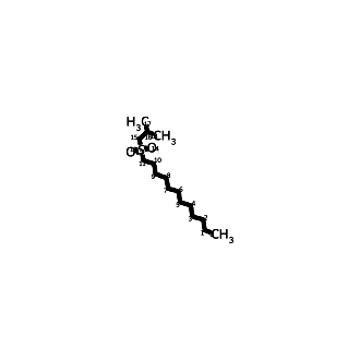 CCCCCCCCCCCCS(=O)(=O)CC(C)C